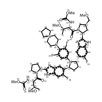 COC[C@H]1C[C@@H](c2nc3cc([C@@H]4CC[C@@H](c5cc6nc([C@@H]7CCCN7C(=O)[C@@H](NC(=O)OC)[C@@H](C)OC)[nH]c6cc5F)N4c4cc(F)c(N5CC[Si]6(CCCC6)CC5)c(F)c4)c(F)cc3[nH]2)N(C(=O)[C@@H](NC(=O)OC)[C@@H](C)OC)C1